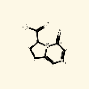 NC(=O)C1CCc2cncc(=O)n21